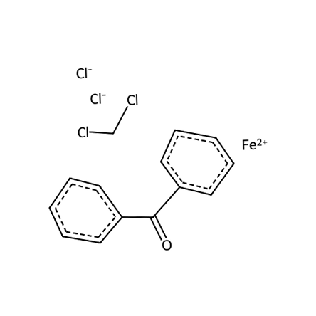 ClCCl.O=C(c1ccccc1)c1ccccc1.[Cl-].[Cl-].[Fe+2]